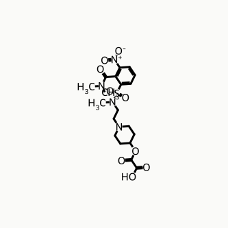 CN(C)C(=O)c1c([N+](=O)[O-])cccc1S(=O)(=O)N(C)CCN1CCC(OC(=O)C(=O)O)CC1